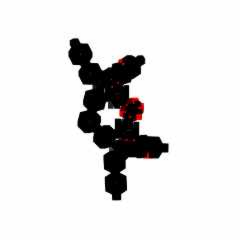 Cc1ccc(-c2ccc3c(c2)c2cc(-c4ccc(C)cc4)ccc2n3-c2ccc(-c3cccc(-c4ccc(-n5c6ccc(-c7ccc(C)cc7)cc6c6cc(-c7ccc(C)cc7)ccc65)c(-c5nc(-c6ccccc6)nc(-c6ccccc6)n5)c4)c3)cc2-c2nc(-c3ccccc3)nc(-c3ccccc3)n2)cc1